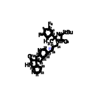 CC(C)(C)C1=N[C@@](C)(c2cc(F)cc(F)c2)N(C/C=C/c2cnc3c(c2)CC2(C3)C(=O)Nc3ncccc32)C1=O